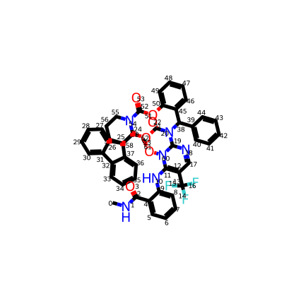 CNC(=O)c1ccccc1NC1=C(C(F)(F)F)C=NC(N(C(=O)OCC2c3ccccc3-c3ccccc32)C(c2ccccc2)c2ccccc2OC(=O)N2CCCCC2)N1OC